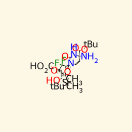 CC(C)(C)OC(=O)C1(N)C=CN([C@@H]2O[C@H](C(O)[Si](C)(C)C(C)(C)C)[C@@H](OC(=O)O)C2(F)F)C(=O)N1